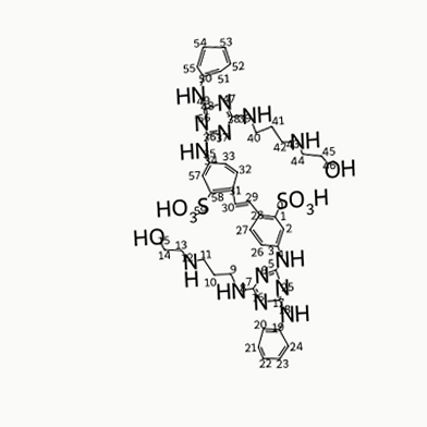 O=S(=O)(O)c1cc(Nc2nc(NCCCNCCO)nc(Nc3ccccc3)n2)ccc1/C=C/c1ccc(Nc2nc(NCCCNCCO)nc(Nc3ccccc3)n2)cc1S(=O)(=O)O